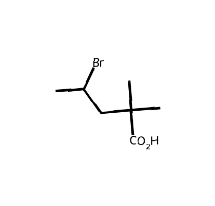 CC(Br)CC(C)(C)C(=O)O